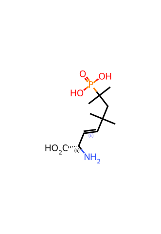 CC(C)(/C=C/[C@H](N)C(=O)O)CC(C)(C)P(=O)(O)O